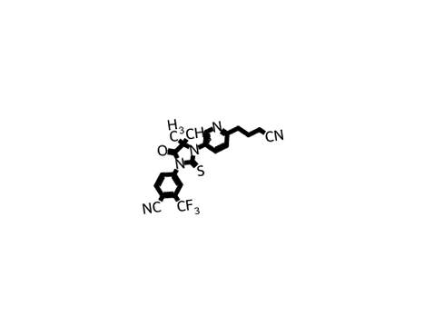 CC1(C)C(=O)N(c2ccc(C#N)c(C(F)(F)F)c2)C(=S)N1c1ccc(CCCC#N)nc1